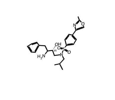 Cc1nc(-c2ccc(S(=O)(=O)N(CC(C)C)C[C@@H](O)C(N)Cc3ccccc3)cc2)co1